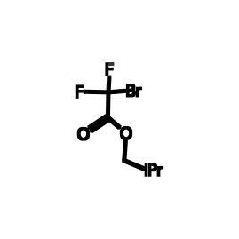 CC(C)COC(=O)C(F)(F)Br